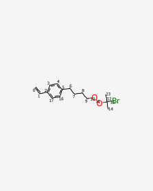 C=Cc1ccc(CCCCOOC(C)(C)Br)cc1